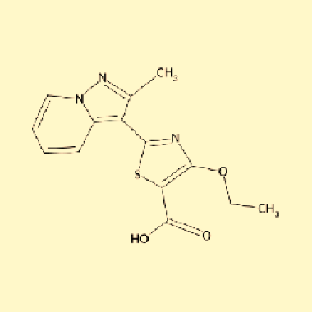 CCOc1nc(-c2c(C)nn3ccccc23)sc1C(=O)O